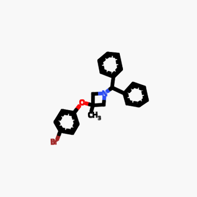 CC1(Oc2ccc(Br)cc2)CN(C(c2ccccc2)c2ccccc2)C1